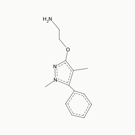 Cc1c(OCCN)nn(C)c1-c1ccccc1